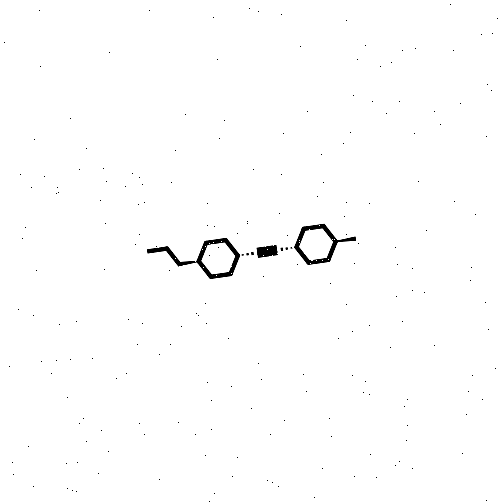 CCC[C@H]1CC[C@H](C#C[C@H]2CC[C@H](C)CC2)CC1